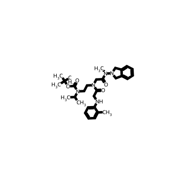 Cc1ccccc1NCC(=O)N(CCN(C(=O)OC(C)(C)C)C(C)C)CC(=O)N(C)N1Cc2ccccc2C1